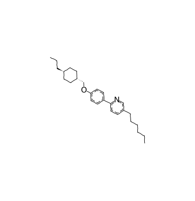 CCCCCCc1ccc(-c2ccc(OC[C@H]3CC[C@H](CCC)CC3)cc2)nc1